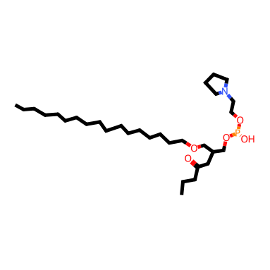 CCCCCCCCCCCCCCCCCOCC(COP(O)OCCN1CCCC1)CC(=O)CCC